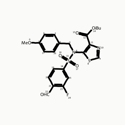 COc1ccc(CN(c2scnc2C(=O)OCC(C)C)S(=O)(=O)c2ccc(C=O)c(F)c2)cc1